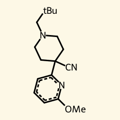 COc1cccc(C2(C#N)CCN(CC(C)(C)C)CC2)n1